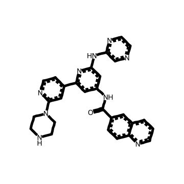 O=C(Nc1cc(Nc2cnccn2)nc(-c2ccnc(N3CCNCC3)c2)c1)c1ccc2ncccc2c1